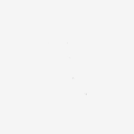 CCCCCO[PH](=O)ONCCNCCN.[Y]